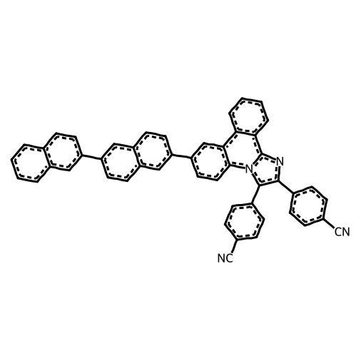 N#Cc1ccc(-c2nc3c4ccccc4c4cc(-c5ccc6cc(-c7ccc8ccccc8c7)ccc6c5)ccc4n3c2-c2ccc(C#N)cc2)cc1